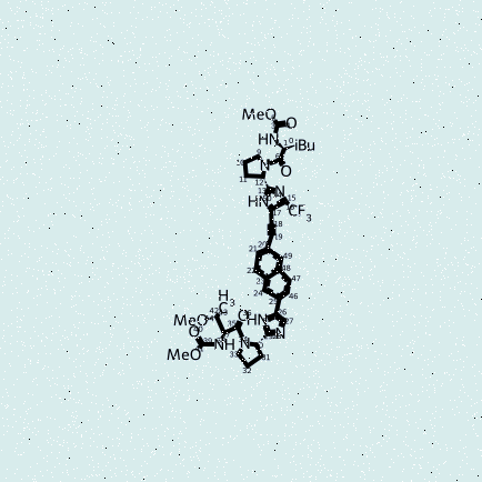 CC[C@H](C)[C@H](NC(=O)OC)C(=O)N1CCC[C@H]1c1nc(C(F)(F)F)c(C#Cc2ccc3cc(-c4cnc([C@@H]5CCCN5C(=O)[C@@H](NC(=O)OC)[C@@H](C)OC)[nH]4)ccc3c2)[nH]1